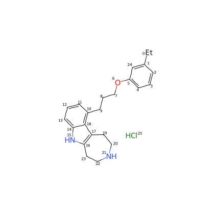 CCc1cccc(OCCCc2cccc3[nH]c4c(c23)CCNCC4)c1.Cl